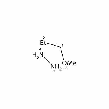 CCCOC.NN